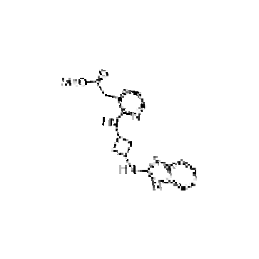 COC(=O)Cc1cccnc1NC1CC(Nc2nc3ccccc3s2)C1